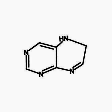 C1=Nc2ncncc2NC1